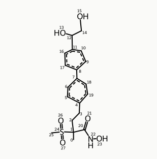 CC(CCc1ccc(-c2ccc(C(O)CO)cc2)cc1)(C(=O)NO)S(C)(=O)=O